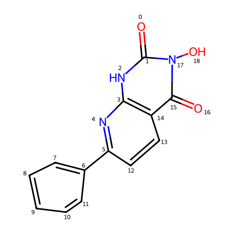 O=c1[nH]c2nc(-c3ccccc3)ccc2c(=O)n1O